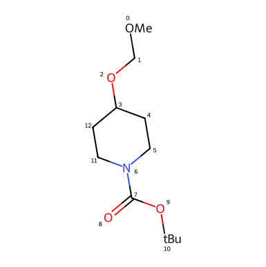 COCOC1CCN(C(=O)OC(C)(C)C)CC1